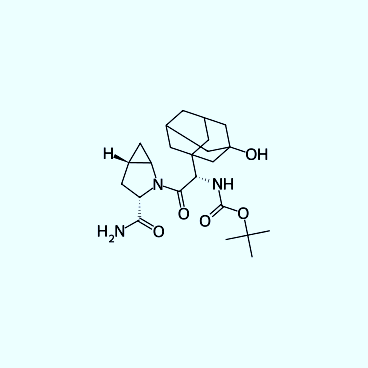 CC(C)(C)OC(=O)N[C@H](C(=O)N1C2C[C@H]2C[C@H]1C(N)=O)C12CC3CC(CC(O)(C3)C1)C2